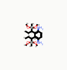 CCC(c1c(N)ccc(N)c1C(CC)[Si](C)(OC)OC)[Si](C)(OC)OC